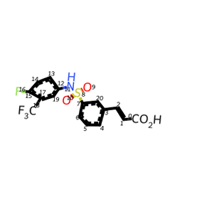 O=C(O)/C=C/c1cccc(S(=O)(=O)Nc2ccc(F)c(C(F)(F)F)c2)c1